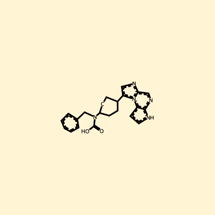 O=C(O)N(Cc1ccccc1)C1CCC(c2cnc3cnc4[nH]ccc4n23)CC1